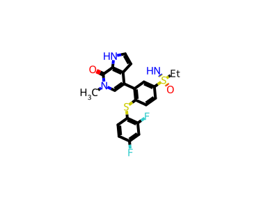 CCS(=N)(=O)c1ccc(Sc2ccc(F)cc2F)c(-c2cn(C)c(=O)c3[nH]ccc23)c1